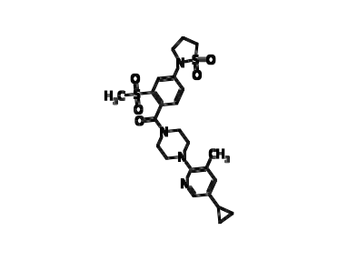 Cc1cc(C2CC2)cnc1N1CCN(C(=O)c2ccc(N3CCCS3(=O)=O)cc2S(C)(=O)=O)CC1